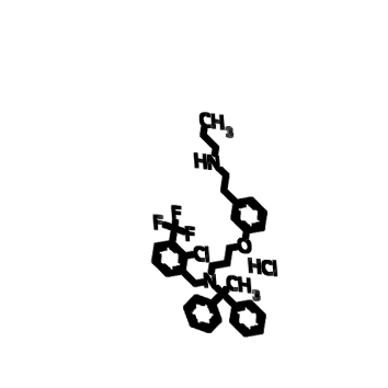 CCCNCCc1cccc(OCCCN(Cc2cccc(C(F)(F)F)c2Cl)C(C)(c2ccccc2)c2ccccc2)c1.Cl